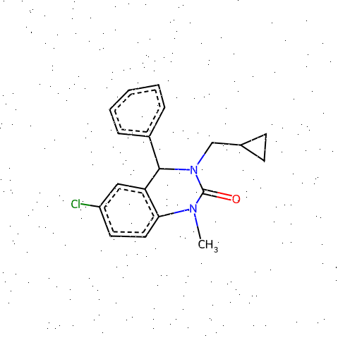 CN1C(=O)N(CC2CC2)C(c2ccccc2)c2cc(Cl)ccc21